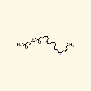 CC/C=C\C/C=C\C/C=C\C/C=C\C/C=C\C/C=C\CCC(=O)NCCSCC(N)=O